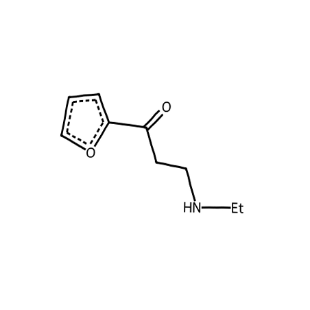 CCNCCC(=O)c1ccco1